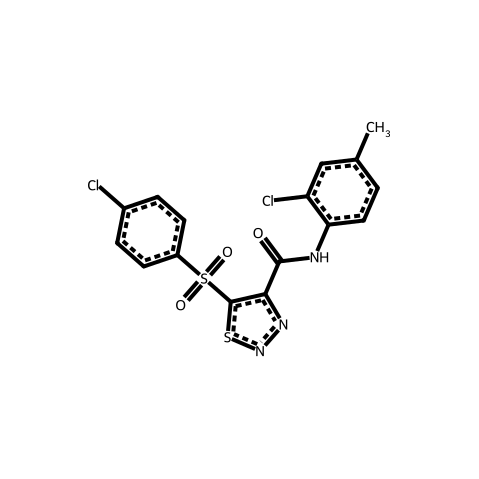 Cc1ccc(NC(=O)c2nnsc2S(=O)(=O)c2ccc(Cl)cc2)c(Cl)c1